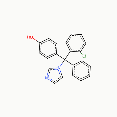 Oc1ccc(C(c2ccccc2)(c2ccccc2Cl)n2ccnc2)cc1